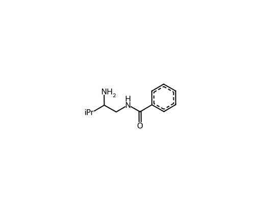 CC(C)C(N)CNC(=O)c1ccccc1